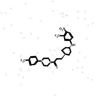 O=[N+]([O-])c1ccc(N[C@H]2CC[C@H](CCC(=S)N3CCN(c4ccc(C(F)(F)F)cc4)CC3)CC2)cc1C(F)(F)F